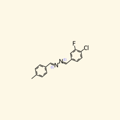 Cc1ccc(/C=N/N=C/c2ccc(Cl)c(F)c2)cc1